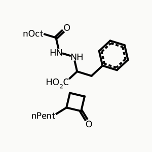 CCCCCC1CCC1=O.CCCCCCCCC(=O)NNC(Cc1ccccc1)C(=O)O